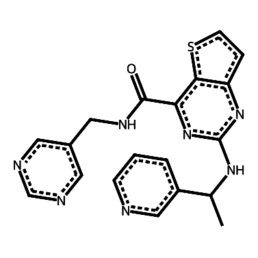 CC(Nc1nc(C(=O)NCc2cncnc2)c2sccc2n1)c1cccnc1